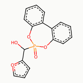 O=P1(C(O)c2ccco2)Oc2ccccc2-c2ccccc2O1